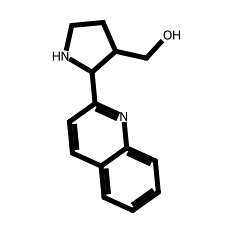 OCC1CCNC1c1ccc2ccccc2n1